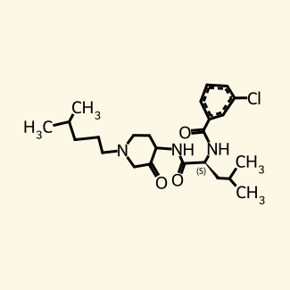 CC(C)CCCN1CCC(NC(=O)[C@H](CC(C)C)NC(=O)c2cccc(Cl)c2)C(=O)C1